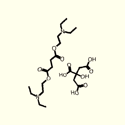 CCN(CC)CCOC(=O)CCC(=O)OCCN(CC)CC.O=C(O)CC(O)(CC(=O)O)C(=O)O